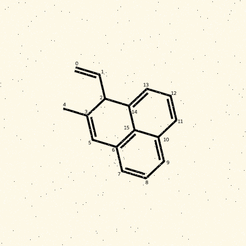 C=CC1C(C)=Cc2cccc3cccc1c23